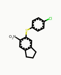 O=[N+]([O-])c1cc2c(cc1Sc1ccc(Cl)cc1)CCC2